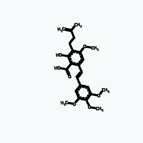 C=C(C)CCc1c(OC)cc(C=Cc2cc(OC)c(OC)c(OC)c2)c(C(=O)O)c1O